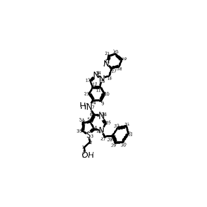 OCCS1=C2C(=C(Nc3ccc4c(cnn4Cc4ccccn4)c3)N=CN2Cc2ccccc2)C=C1